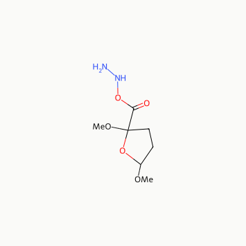 COC1CCC(OC)(C(=O)ONN)O1